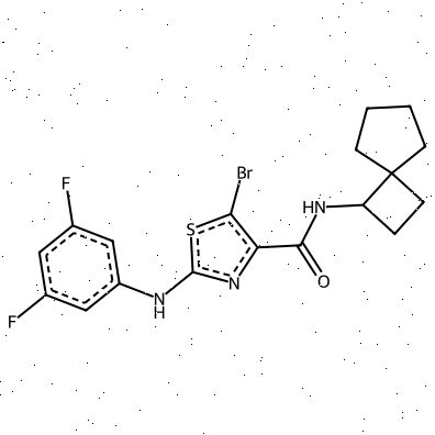 O=C(NC1CCC12CCCC2)c1nc(Nc2cc(F)cc(F)c2)sc1Br